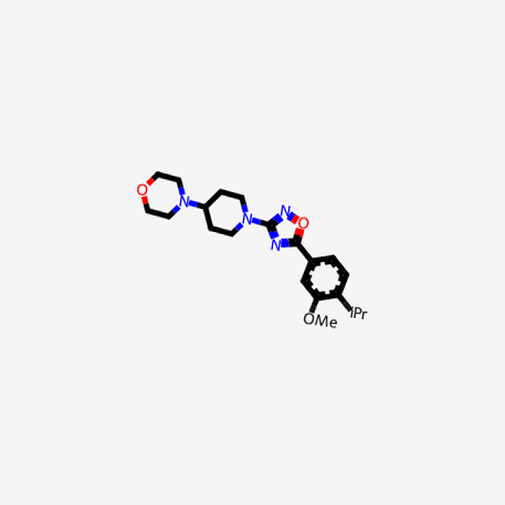 COc1cc(-c2nc(N3CCC(N4CCOCC4)CC3)no2)ccc1C(C)C